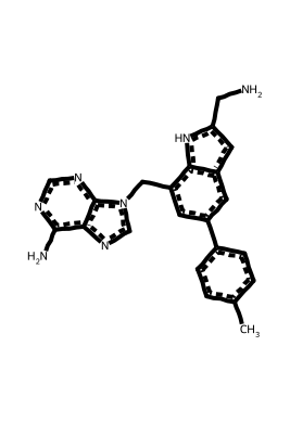 Cc1ccc(-c2cc(Cn3cnc4c(N)ncnc43)c3[nH]c(CN)cc3c2)cc1